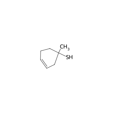 CC1(S)CC=CCC1